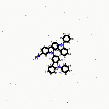 N#Cc1ccc2c3ccc4c(c5ccccc5n4-c4ccccc4)c3n(-c3ccc4c(c3)c3ccccc3n4-c3ccccc3)c2c1